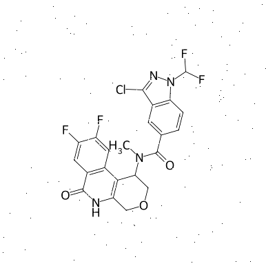 CN(C(=O)c1ccc2c(c1)c(Cl)nn2C(F)F)C1COCc2[nH]c(=O)c3cc(F)c(F)cc3c21